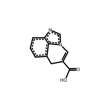 O=C(O)C1=Cn2cnc3cccc(c32)C1